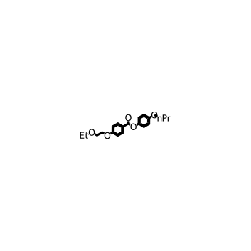 CCCOc1ccc(OC(=O)c2ccc(OCCOCC)cc2)cc1